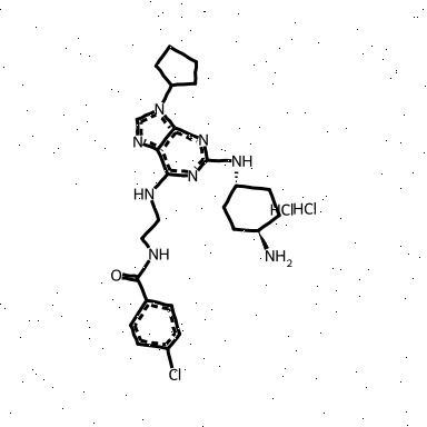 Cl.Cl.N[C@H]1CC[C@H](Nc2nc(NCCNC(=O)c3ccc(Cl)cc3)c3ncn(C4CCCC4)c3n2)CC1